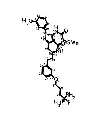 CSCC(=O)Nc1c2c(nn1-c1cccc(C)c1)C[C@H](CCc1cccc(OCCCC(F)(P)P)c1)NC2=O